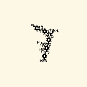 CC(C)Oc1c(NC(=O)c2ccc(NC(=O)C(CC(N)=O)NC(=O)c3ccc(NC(=O)c4ccc(C#N)cn4)cc3)cc2)ccc(C(=O)Nc2ccc(C(=O)O)cc2)c1O